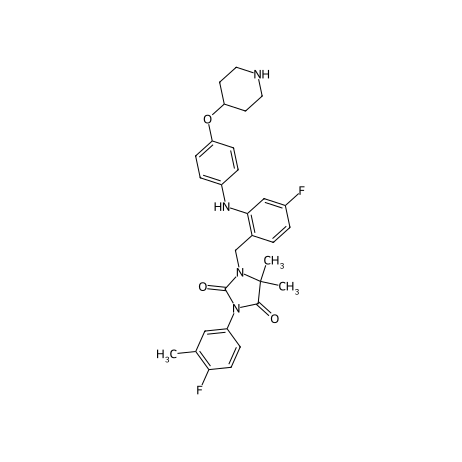 Cc1cc(N2C(=O)N(Cc3ccc(F)cc3Nc3ccc(OC4CCNCC4)cc3)C(C)(C)C2=O)ccc1F